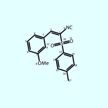 [C-]#[N+]C(=Cc1cccc(OC)c1)S(=O)(=O)c1ccc(C)cc1